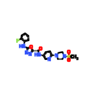 CS(=O)(=O)N1CCN(c2ccc(NC(=O)c3nnc(Nc4ccccc4F)o3)cn2)CC1